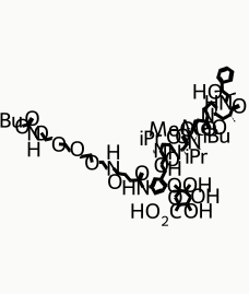 CC[C@H](C)[C@@H]([C@@H](CC(=O)N1CCC[C@H]1[C@H](OC)[C@@H](C)C(=O)N[C@H](C)[C@@H](O)c1ccccc1)OC)N(C)C(=O)[C@@H](NC(=O)[C@H](C(C)C)N(C)C(=O)OCc1cc(NC(=O)CCC(=O)NCCOCCOCCOCCONC(=O)OC(C)(C)C)ccc1OC1OC(C(=O)O)C(O)C(O)C1O)C(C)C